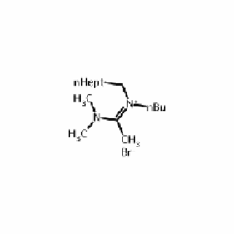 CCCCCCCC[N+](CCCC)=C(C)N(C)C.[Br-]